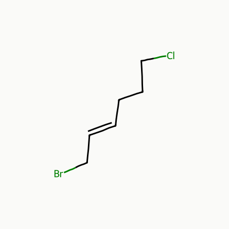 ClCCCC=CCBr